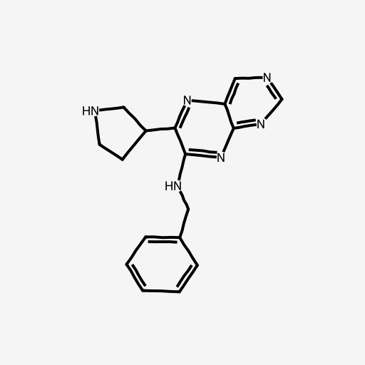 c1ccc(CNc2nc3ncncc3nc2C2CCNC2)cc1